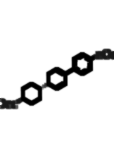 CCCCCCCCCC[C@H]1CC[C@H](C2C=CC(c3ccc(CCCCCCCC)cc3)=CC2)CC1